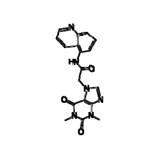 Cn1c(=O)c2c(ncn2CC(=O)Nc2cccc3ncccc23)n(C)c1=O